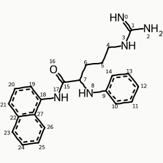 N=C(N)NCCCC(Nc1ccccc1)C(=O)Nc1cccc2ccccc12